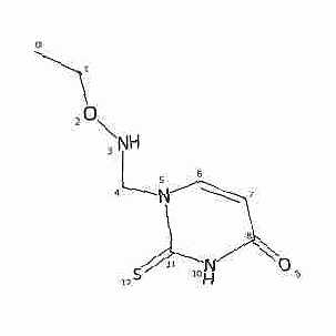 CCONCn1ccc(=O)[nH]c1=S